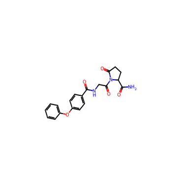 NC(=O)C1CCC(=O)N1C(=O)CNC(=O)c1ccc(Oc2ccccc2)cc1